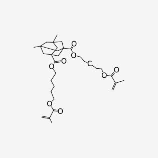 C=C(C)C(=O)OCCCCCOC(=O)C12CC3(C)CC(C)(C1)CC(C(=O)OCCCCCOC(=O)C(=C)C)(C3)C2